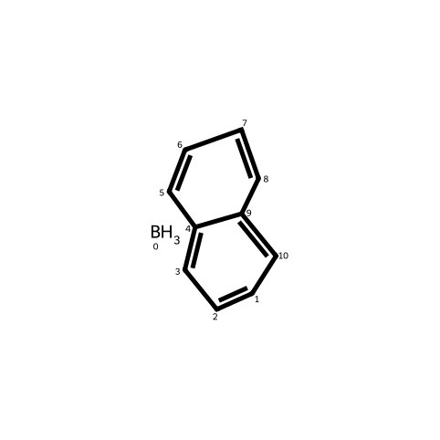 B.c1ccc2ccccc2c1